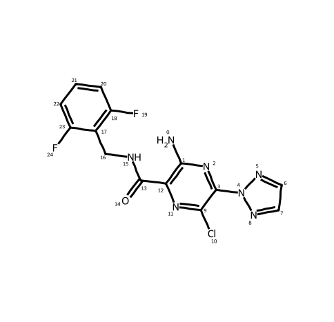 Nc1nc(-n2nccn2)c(Cl)nc1C(=O)NCc1c(F)cccc1F